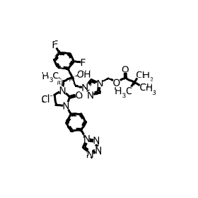 C[C@@H](N1CCN(c2ccc(-n3cnnn3)cc2)C1=O)[C@](O)(C[n+]1cn(COC(=O)C(C)(C)C)cn1)c1ccc(F)cc1F.[Cl-]